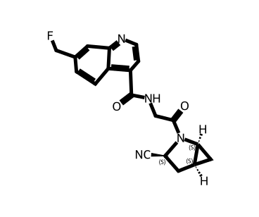 N#C[C@@H]1C[C@@H]2C[C@@H]2N1C(=O)CNC(=O)c1ccnc2cc(CF)ccc12